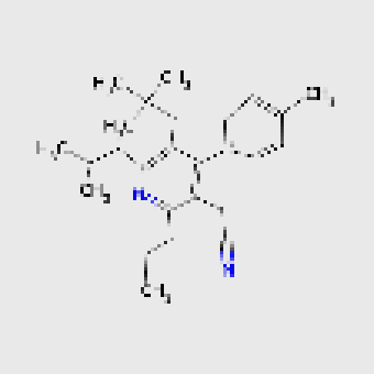 CCCc1nc(CC(C)C)c(CC(C)(C)C)c(-c2ccc(C)cc2)c1CC#N